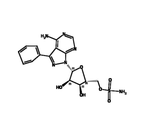 Nc1ncnc2c1c(-c1ccccc1)nn2[C@@H]1O[C@H](COS(N)(=O)=O)[C@@H](O)[C@H]1O